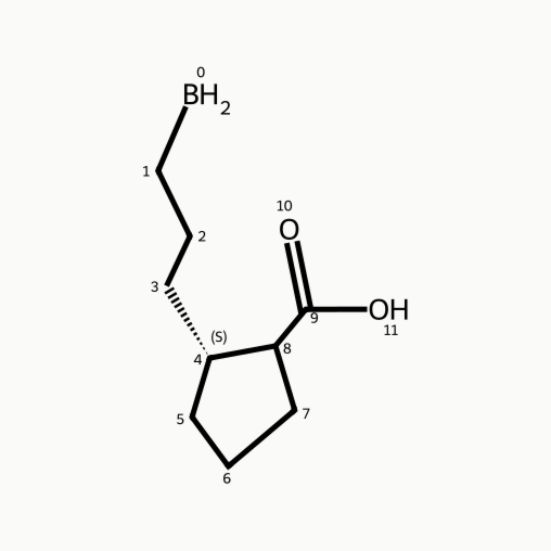 BCCC[C@H]1CCCC1C(=O)O